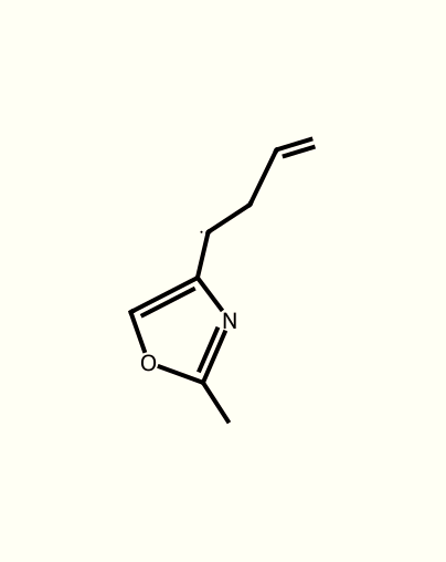 C=CC[CH]c1coc(C)n1